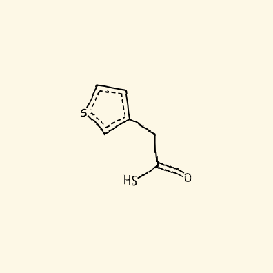 O=C(S)Cc1ccsc1